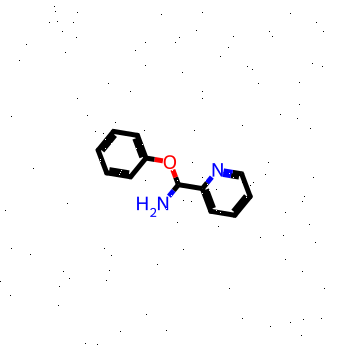 NC(Oc1ccccc1)c1ccccn1